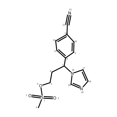 CS(=O)(=O)OCCC(c1ccc(C#N)cc1)n1ccnc1